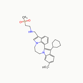 CS(=O)(=O)CCNCc1cn2c3c(cccc13)-c1c(C3CCCCC3)c3ccc(C(=O)O)cc3n1CCC2